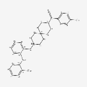 O=C(c1ccc(Cl)cc1)N1CCC2(CCN(Cc3ccccc3Sc3ccccc3F)CC2)CC1